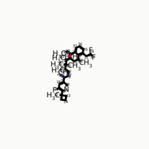 C=C(/C=C\C(=C/C)c1cnc(C2(C)CCC2)c(F)c1)C(C)(C)C(C)C(C)CC(C)c1c(CC(F)F)cccc1/C(=C/C)CC